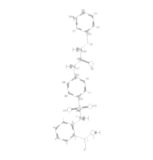 CC(O)c1ccccc1NS(=O)(=O)c1ccc(NC(=O)NCc2cccnc2)cc1